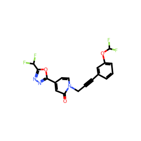 O=c1cc(-c2nnc(C(F)F)o2)ccn1CC#Cc1cccc(OC(F)F)c1